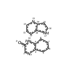 O=c1cnc2ccccc2[nH]1.c1cnc2cc[nH]c2c1